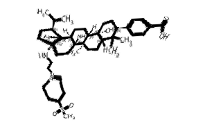 CC(C)[C@@H]1CC[C@]2(NCCN3CCC(S(C)(=O)=O)CC3)CC[C@]3(N)[C@H](CC[C@@H]4[C@@]5(C)CC[C@@H](c6ccc(C(=O)O)cc6)C(C)(C)[C@@H]5CC[C@]43C)[C@@H]12